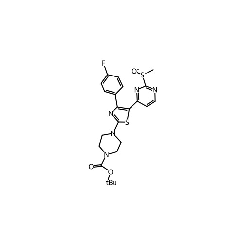 C[S+]([O-])c1nccc(-c2sc(N3CCN(C(=O)OC(C)(C)C)CC3)nc2-c2ccc(F)cc2)n1